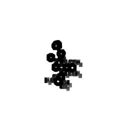 CC1(C)CCC(C)(C)c2cc(N3c4cc5c(cc4B4c6sc7ccc(C89CC%10CCC(C8)C(C%10)C9)cc7c6N(c6ccccc6)c6cccc3c64)C(C)(C)CCC5(C)C)ccc21